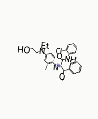 CCN(CCO)c1ccc(/N=C(\C(=O)Nc2ccccc2Cl)C(=O)c2ccccc2)c(C)c1